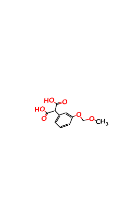 COCOc1cccc(C(C(=O)O)C(=O)O)c1